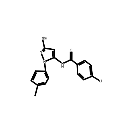 Cc1ccc(-n2nc(C(C)(C)C)cc2NC(=O)c2ccc(Cl)cc2)cc1